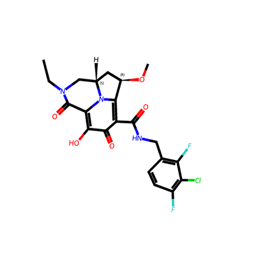 CCN1C[C@@H]2C[C@@H](OC)c3c(C(=O)NCc4ccc(F)c(Cl)c4F)c(=O)c(O)c(n32)C1=O